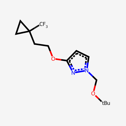 CC(C)(C)OCn1ccc(OCCC2(C(F)(F)F)CC2)n1